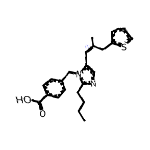 CCCCc1ncc(/C=C(/C)Cc2cccs2)n1Cc1ccc(C(=O)O)cc1